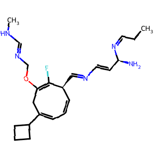 CC/C=N\[C@@H](N)C=C/N=C/[C@H]1C=C/C=C(/C2CCC2)C/C(OC/N=C/NC)=C\1F